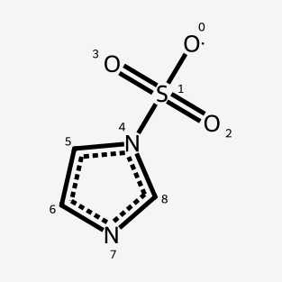 [O]S(=O)(=O)n1ccnc1